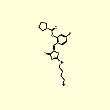 NCCCCNC1=NC(=O)/C(=C/c2ccc(F)cc2OC(=O)N2CCCC2)S1